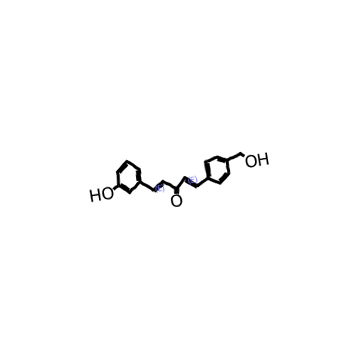 O=C(/C=C/c1ccc(CO)cc1)/C=C/c1cccc(O)c1